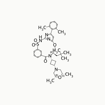 Cc1cccc(C)c1-c1cc2nc(n1)NS(=O)(=O)c1cccc(c1)C(=O)N([C@H]1C[C@@H](N3C[C@@H](C)O[C@@H](C)C3)C1)[C@H](CC(C)(C)C)CO2